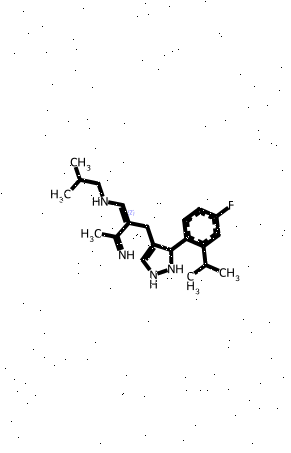 CC(=N)/C(=C\NCC(C)C)CC1=CNNC1c1ccc(F)cc1C(C)C